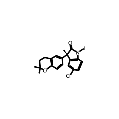 CC1(C)CCc2cc([C@]3(C)C(=O)N(I)c4ccc(Cl)cc43)ccc2O1